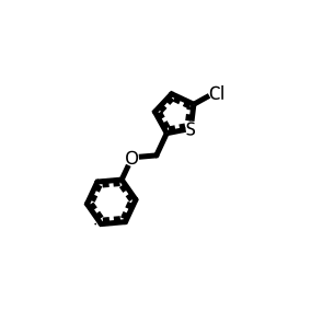 Clc1ccc(COc2cc[c]cc2)s1